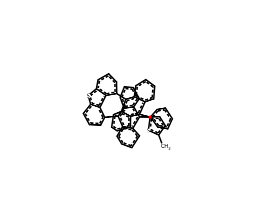 Cc1ccc(-c2c3ccccc3c(-c3cccc4sc5cccc(-c6c7ccccc7c(-c7ccccc7)c7ccccc67)c5c34)c3ccccc23)s1